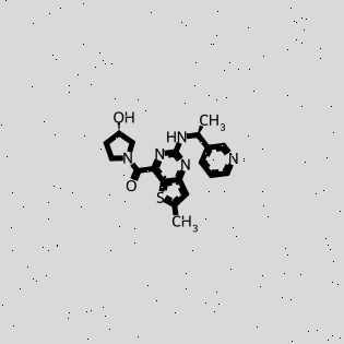 Cc1cc2nc(N[C@@H](C)c3cccnc3)nc(C(=O)N3CC[C@H](O)C3)c2s1